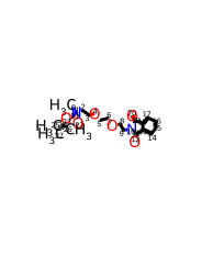 CN(CCOCCOCCN1C(=O)c2ccccc2C1=O)C(=O)OC(C)(C)C